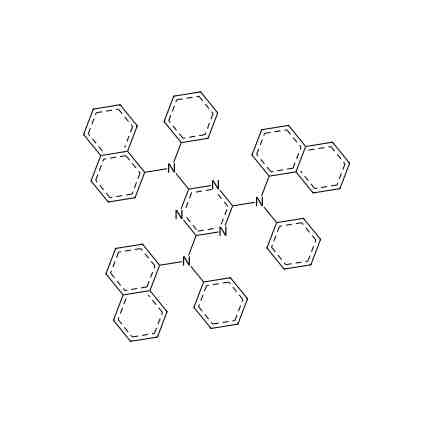 c1ccc(N(c2nc(N(c3ccccc3)c3cccc4ccccc34)nc(N(c3ccccc3)c3cccc4ccccc34)n2)c2cccc3ccccc23)cc1